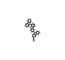 N#Cc1ccc2c(c1)c1ccccc1n2-c1ccc2sc3c(-n4c5ccccc5c5ccccc54)cccc3c2c1